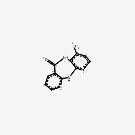 Cc1ccnc2c1NC(=O)c1cccnc1N2